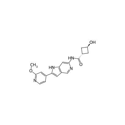 COc1cc(-c2cc3cnc(NC(=O)[C@H]4C[C@H](O)C4)cc3[nH]2)ccn1